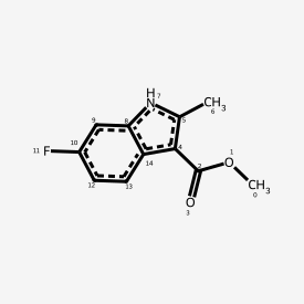 COC(=O)c1c(C)[nH]c2cc(F)ccc12